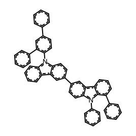 c1ccc(-c2ccc(-n3c4ccccc4c4cc(-c5ccc6c(c5)c5cccc(-c7ccccc7)c5n6-c5ccccc5)ccc43)c(-c3ccccc3)c2)cc1